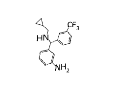 Nc1cccc(C(NCC2CC2)c2cccc(C(F)(F)F)c2)c1